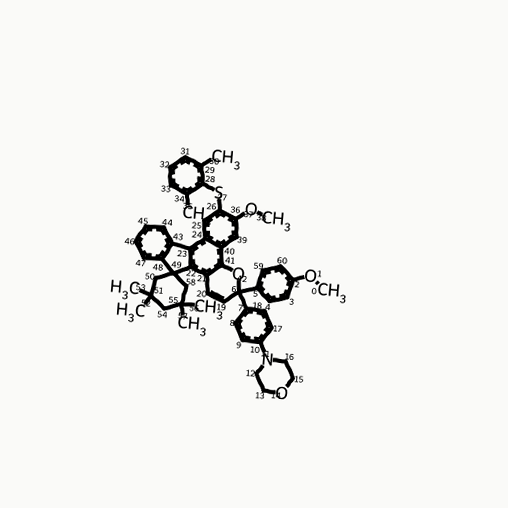 COc1ccc(C2(c3ccc(N4CCOCC4)cc3)C=Cc3c4c(c5cc(Sc6c(C)cccc6C)c(OC)cc5c3O2)-c2ccccc2C42CC(C)(C)CC(C)(C)C2)cc1